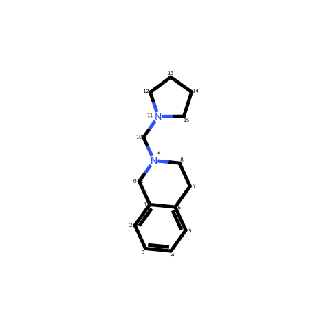 [C]1c2ccccc2CCN1CN1CCCC1